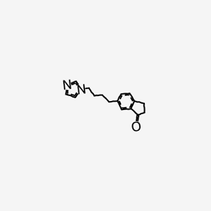 O=C1CCc2ccc(CCCCn3ccnc3)cc21